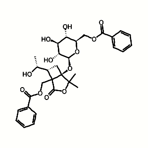 C[C@@H](O)[C@@H]1C[C@]2(O[C@@H]3O[C@H](COC(=O)c4ccccc4)[C@@H](O)[C@H](O)[C@H]3O)C(C)(C)OC(=O)C12COC(=O)c1ccccc1